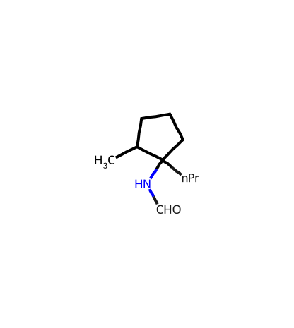 CCCC1(NC=O)CCCC1C